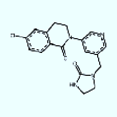 O=C1NCCN1Cc1cncc(N2CCc3cc(Cl)ccc3C2=O)c1